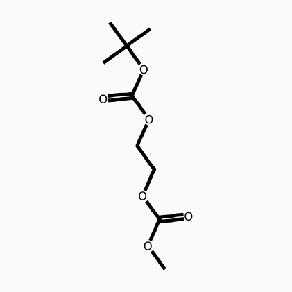 COC(=O)OCCOC(=O)OC(C)(C)C